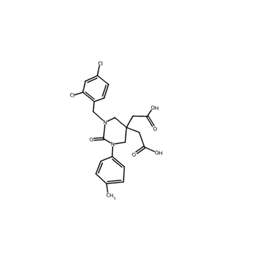 Cc1ccc(N2CC(CC(=O)O)(CC(=O)O)CN(Cc3ccc(Cl)cc3Cl)C2=O)cc1